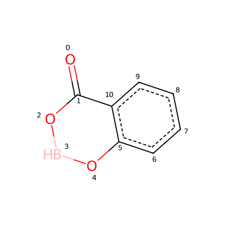 O=C1OBOc2ccccc21